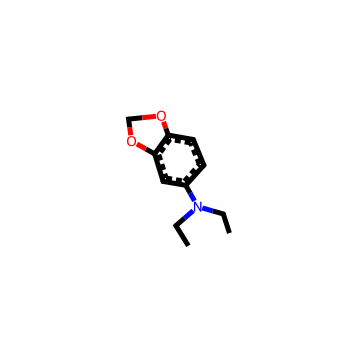 CCN(CC)c1ccc2c(c1)OCO2